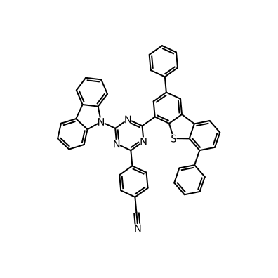 N#Cc1ccc(-c2nc(-c3cc(-c4ccccc4)cc4c3sc3c(-c5ccccc5)cccc34)nc(-n3c4ccccc4c4ccccc43)n2)cc1